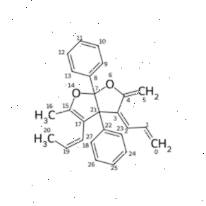 C=C/C=C1\C(=C)OC2(c3ccccc3)OC(C)=C(/C=C\C)C12c1ccccc1